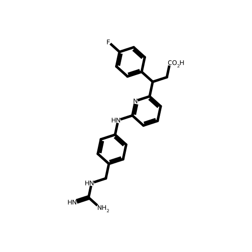 N=C(N)NCc1ccc(Nc2cccc(C(CC(=O)O)c3ccc(F)cc3)n2)cc1